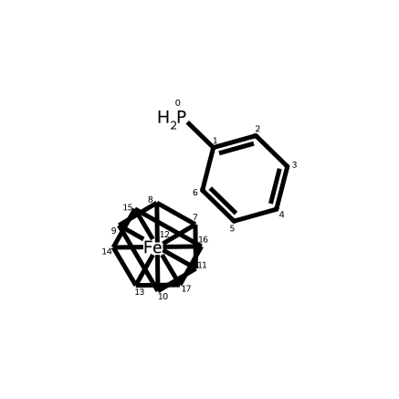 Pc1ccccc1.[CH]12[CH]3[CH]4[CH]5[CH]1[Fe]23451678[CH]2[CH]1[CH]6[CH]7[CH]28